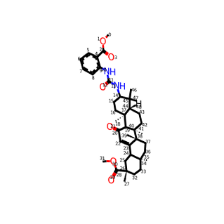 COC(=O)c1ccccc1NC(=O)NC1CC[C@]2(C)C3C(=O)C=C4C5C[C@@](C)(C(=O)OC)CC[C@]5(C)CC[C@@]4(C)[C@]3(C)CC[C@H]2C1(C)C